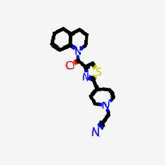 N#CCN1CCC(c2nc(C(=O)N3CCCC4CCCCC43)cs2)CC1